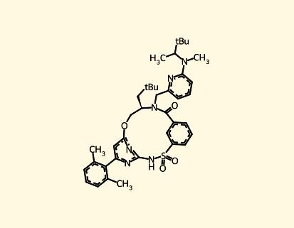 Cc1cccc(C)c1-c1cc2nc(n1)NS(=O)(=O)c1cccc(c1)C(=O)N(Cc1cccc(N(C)C(C)C(C)(C)C)n1)[C@H](CC(C)(C)C)CO2